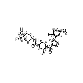 CC[C@H]1C[C@@H](C(=O)N[C@H]2CC[C@@](O)(C(F)(F)F)CC2)CCN1C(=O)c1cc(-c2cc(OC)ncc2F)[nH]n1